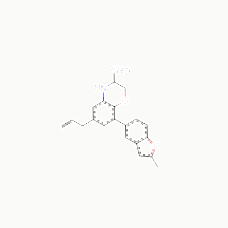 C=CCc1cc2c(c(-c3ccc4oc(C)cc4c3)c1)OCC(C=O)N2